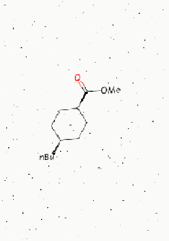 CCCC[C@H]1CC[C@@H](C(=O)OC)CC1